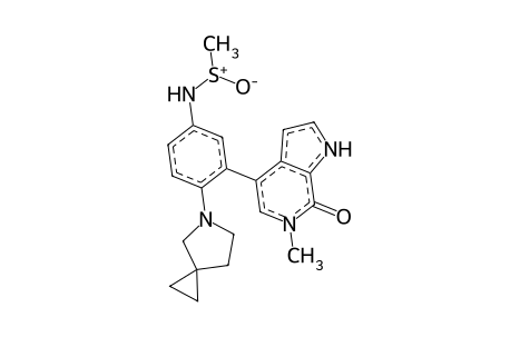 Cn1cc(-c2cc(N[S+](C)[O-])ccc2N2CCC3(CC3)C2)c2cc[nH]c2c1=O